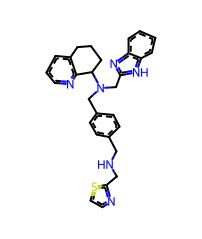 c1cnc2c(c1)CCCC2N(Cc1ccc(CNCc2nccs2)cc1)Cc1nc2ccccc2[nH]1